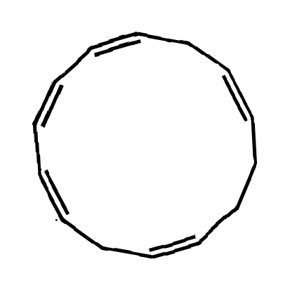 [C]1=CC=CC=CCC=CCCC=CC1